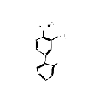 Nc1cc(-c2ccccc2F)ccc1[N+](=O)[O-]